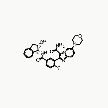 NC(=O)c1c(-c2cc(C(=O)N[C@@H]3c4ccccc4C[C@@H]3O)ccc2F)nc2ccc(N3CCOCC3)cn12